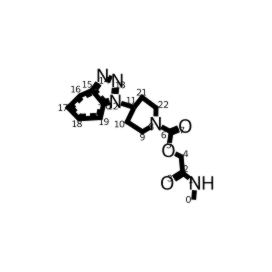 CNC(=O)COC(=O)N1CCC(n2nnc3ccccc32)CC1